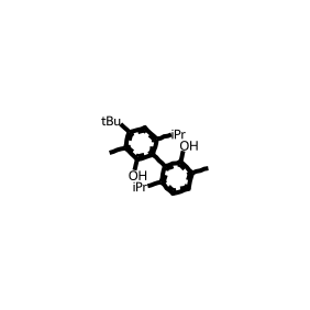 Cc1ccc(C(C)C)c(-c2c(C(C)C)cc(C(C)(C)C)c(C)c2O)c1O